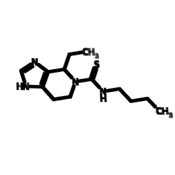 CCCCNC(=S)N1CCc2[nH]cnc2C1CC